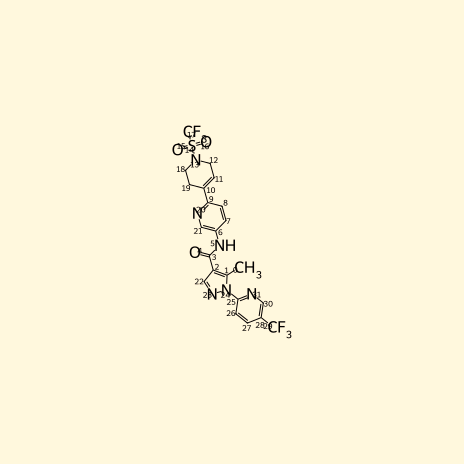 Cc1c(C(=O)Nc2ccc(C3=CCN(S(=O)(=O)C(F)(F)F)CC3)nc2)cnn1-c1ccc(C(F)(F)F)cn1